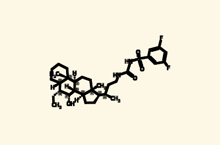 CC[C@H]1[C@@H](O)[C@@H]2[C@H](CC[C@]3(C)[C@@H]([C@H](C)CCNC(=O)NS(=O)(=O)c4cc(F)cc(F)c4)CC[C@@H]23)[C@@]2(C)CCCC[C@@H]12